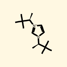 C[C@@H](n1cc[n+]([C@H](C)C(C)(C)C)c1)C(C)(C)C